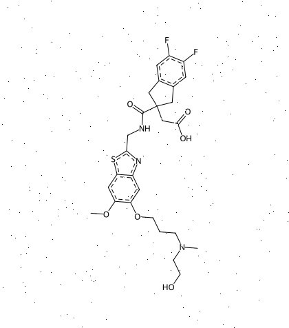 COc1cc2sc(CNC(=O)C3(CC(=O)O)Cc4cc(F)c(F)cc4C3)nc2cc1OCCCN(C)CCO